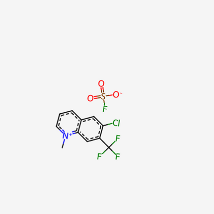 C[n+]1cccc2cc(Cl)c(C(F)(F)F)cc21.O=S(=O)([O-])F